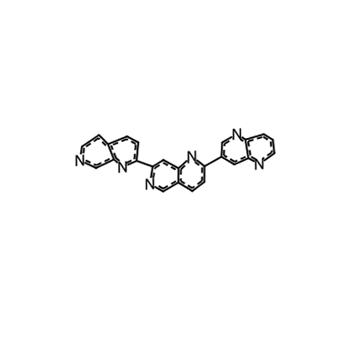 c1cnc2cc(-c3ccc4cnc(-c5ccc6ccncc6n5)cc4n3)cnc2c1